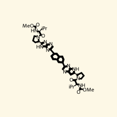 COC(=O)N[C@H](C(=O)N1CCC[C@@H]1c1cc2ncc(-c3ccc4cc(-c5cnc6nc([C@H]7CCCN7C(=O)[C@@H](NC(=O)OC)C(C)C)[nH]c6n5)ccc4c3)nc2[nH]1)C(C)C